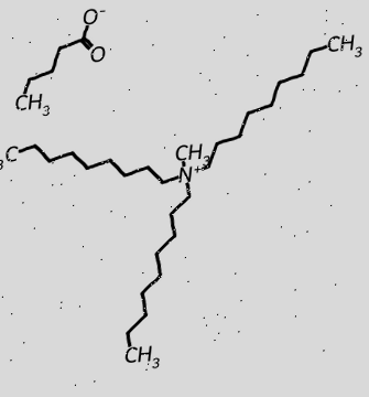 CCCCC(=O)[O-].CCCCCCCCC[N+](C)(CCCCCCCCC)CCCCCCCCC